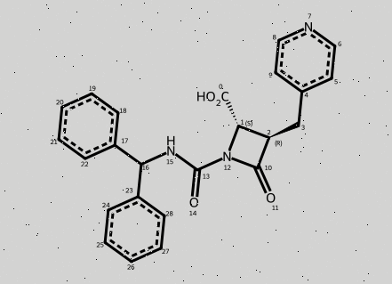 O=C(O)[C@@H]1[C@@H](Cc2ccncc2)C(=O)N1C(=O)NC(c1ccccc1)c1ccccc1